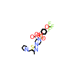 Cc1nc(N2CCN(S(=O)(=O)c3ccc(OC(F)(F)F)cc3)[C@@H](C(=O)O)C2)sc1CN1CCCC1